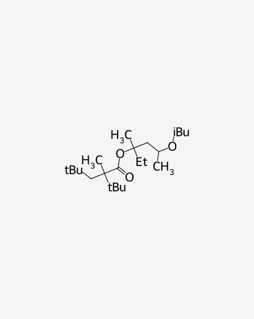 CCC(C)OC(C)CC(C)(CC)OC(=O)C(C)(CC(C)(C)C)C(C)(C)C